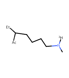 [2H]N(C)CCCCC(CC)C(C)=O